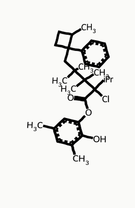 Cc1cc(C)c(O)c(OC(=O)C(Cl)(C(C)C)C(C)(C)C(C)(C)CC2(c3ccccc3)CCC2C)c1